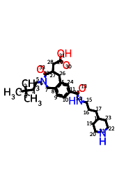 CC(C)(C)CCN1Cc2ccc(C(=O)NCCCC3CCNCC3)cc2CC(CC(=O)O)C1=O